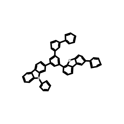 c1ccc(-c2cccc(-c3cc(-c4ccc5c6ccccc6n(-c6ccccc6)c5c4)cc(-c4cccc5c4oc4ccc(-c6ccccc6)cc45)c3)c2)cc1